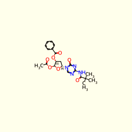 CC(=O)OC1O[C@@H](n2cnc(NC(=O)C(C)(C)C)nc2=O)C[C@@H]1OC(=O)c1ccccc1